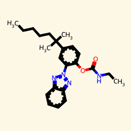 CCCCCC(C)(C)c1ccc(OC(=O)NCC)c(-n2nc3ccccc3n2)c1